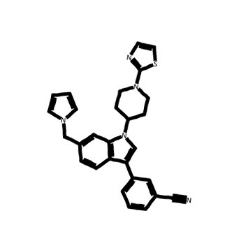 N#Cc1cccc(-c2cn(C3CCN(c4nccs4)CC3)c3cc(Cn4cccc4)ccc23)c1